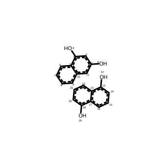 Oc1cc(O)c2ccccc2c1.Oc1cccc2c(O)cccc12